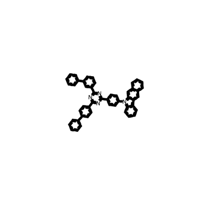 c1ccc(-c2ccc(-c3nc(-c4ccc(-n5c6ccccc6c6cc7ccccc7cc65)cc4)nc(-c4cccc(-c5ccccc5)c4)n3)cc2)cc1